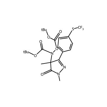 CN1N=C(c2ccc(SC(F)(F)F)cc2)C(C)(N(OC(=O)OC(C)(C)C)C(=O)OC(C)(C)C)C1=O